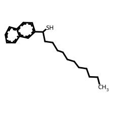 CCCCCCCCCCCC(S)c1ccc2ccccc2c1